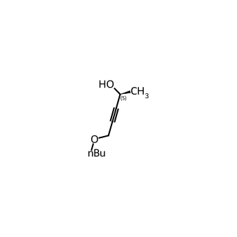 CCCCOCC#C[C@H](C)O